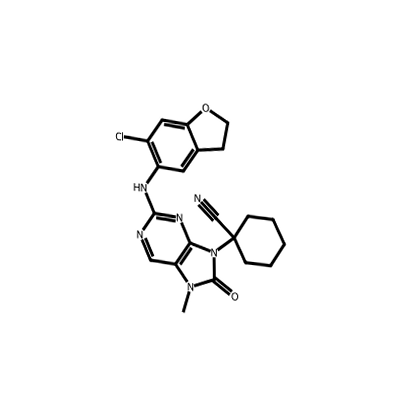 Cn1c(=O)n(C2(C#N)CCCCC2)c2nc(Nc3cc4c(cc3Cl)OCC4)ncc21